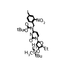 CC[C@H]1O[C@@H](n2ccc(N(Cc3ccc(I)cc3[N+](=O)[O-])C(=O)OC(C)(C)C)nc2=O)CC1O[Si](C)(C)C(C)(C)C